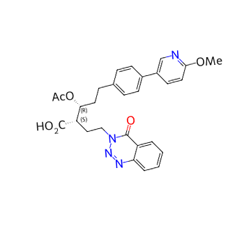 COc1ccc(-c2ccc(CC[C@@H](OC(C)=O)[C@H](CCn3nnc4ccccc4c3=O)C(=O)O)cc2)cn1